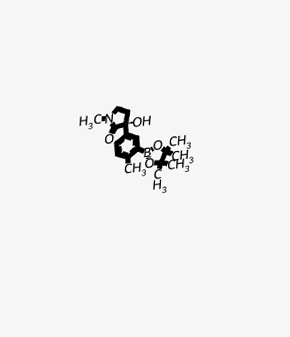 Cc1ccc([C@]2(O)CCN(C)C2=O)cc1B1OC(C)(C)C(C)(C)O1